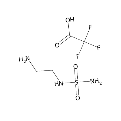 NCCNS(N)(=O)=O.O=C(O)C(F)(F)F